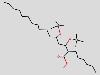 CCCCCCCCCCCC(CC(O[Si](C)(C)C)C(CCCCCC)C(=O)OC)O[Si](C)(C)C